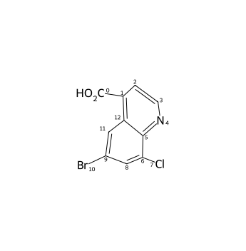 O=C(O)c1ccnc2c(Cl)cc(Br)cc12